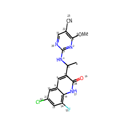 COc1nc(NC(C)c2cc3cc(Cl)cc(F)c3[nH]c2=O)ncc1C#N